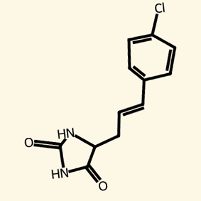 O=C1NC(=O)C(CC=Cc2ccc(Cl)cc2)N1